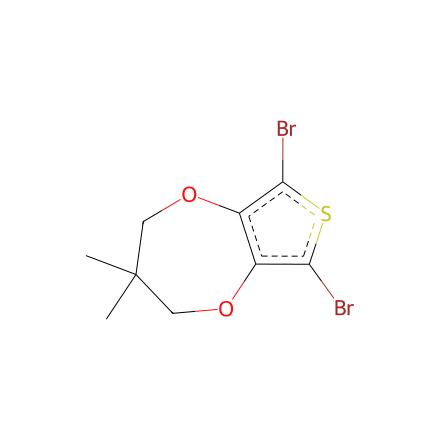 CC1(C)COc2c(Br)sc(Br)c2OC1